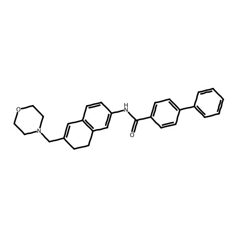 O=C(Nc1ccc2c(c1)CCC(CN1CCOCC1)=C2)c1ccc(-c2ccccc2)cc1